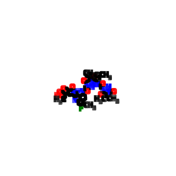 CC[C@H](C)[C@H](NC(=O)[C@H](CC(C)C)NC(=O)CNC(=O)[C@@H](NC=O)C(C)C)C(=O)NCC(=O)N[C@H]1CCc2c(C)c(F)cc3nc4c(c1c23)Cn1c-4cc2c(c1=O)COC(=O)[C@]2(O)CC